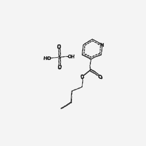 CCCCOC(=O)c1cccnc1.O=S(=O)(O)O